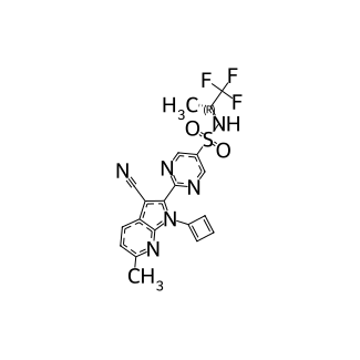 Cc1ccc2c(C#N)c(-c3ncc(S(=O)(=O)N[C@H](C)C(F)(F)F)cn3)n(C3=CC=C3)c2n1